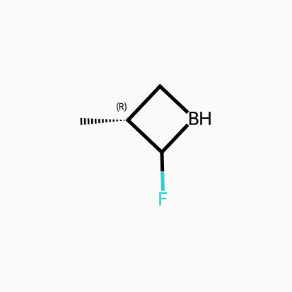 C[C@@H]1CBC1F